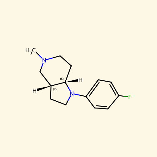 CN1CC[C@H]2[C@H](CCN2c2ccc(F)cc2)C1